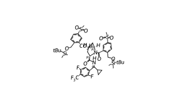 CC(C)(C)[Si](C)(C)OCc1ccc(S(C)(=O)=O)cc1C(=O)N1[C@@H](C(=O)N[C@@H](c2cc(F)c(C(F)(F)F)cc2F)C2CC2)C[C@H]2C[C@H]21.CC(C)(C)[Si](C)(C)OCc1ccc(S(C)(=O)=O)cc1C(=O)O